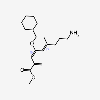 C=C(/C=C(\C=C(/C)CCCN)OCC1CCCCC1)C(=O)OC